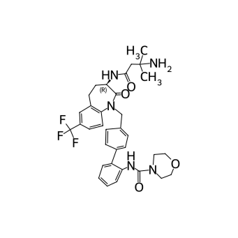 CC(C)(N)CC(=O)N[C@@H]1CCc2cc(C(F)(F)F)ccc2N(Cc2ccc(-c3ccccc3NC(=O)N3CCOCC3)cc2)C1=O